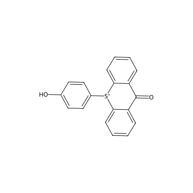 O=c1c2ccccc2[s+](-c2ccc(O)cc2)c2ccccc12